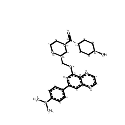 CN(C)c1ccc(-c2cc3nccnc3c(OC[C@@H]3CN(C(=O)[C@H]4CC[C@H](O)CC4)CCO3)n2)cc1